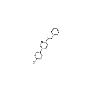 Clc1cnc(-c2ccc(OCc3ccccc3)nc2)cn1